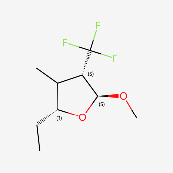 CC[C@H]1O[C@H](OC)[C@@H](C(F)(F)F)C1C